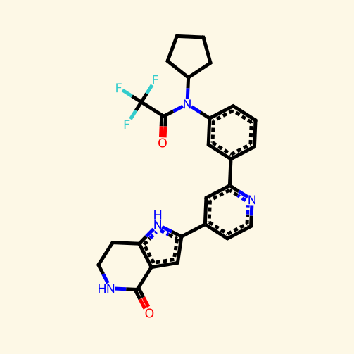 O=C1NCCc2[nH]c(-c3ccnc(-c4cccc(N(C(=O)C(F)(F)F)C5CCCC5)c4)c3)cc21